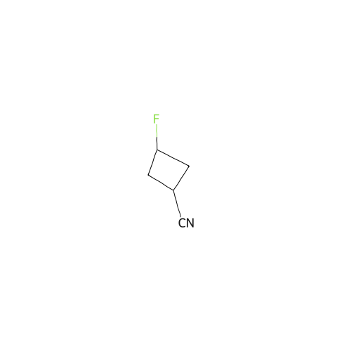 N#CC1CC(F)C1